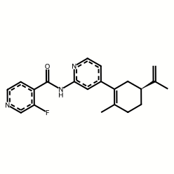 C=C(C)[C@H]1CCC(C)=C(c2ccnc(NC(=O)c3ccncc3F)c2)C1